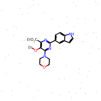 CCOC(=O)c1nc(-c2ccc3[nH]ccc3c2)nc(N2CCOCC2)c1OCC